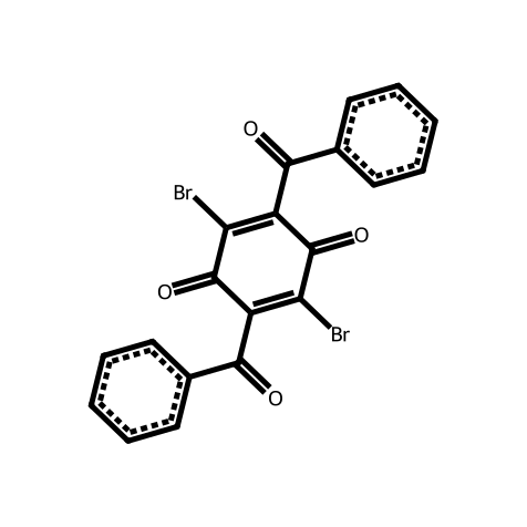 O=C1C(Br)=C(C(=O)c2ccccc2)C(=O)C(Br)=C1C(=O)c1ccccc1